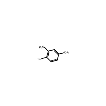 Cc1ccc(C#N)c([SiH3])c1